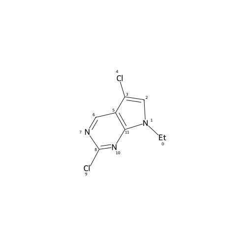 CCn1cc(Cl)c2cnc(Cl)nc21